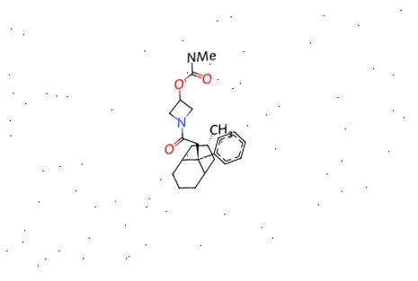 CNC(=O)OC1CN(C(=O)C[C@]2(c3ccccc3)C3CCCC2C[C@@H](C)C3)C1